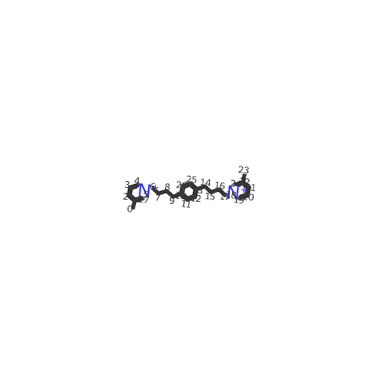 Cc1ccc[n+](CCCCc2ccc(CCCC[n+]3cccc(C)c3)cc2)c1